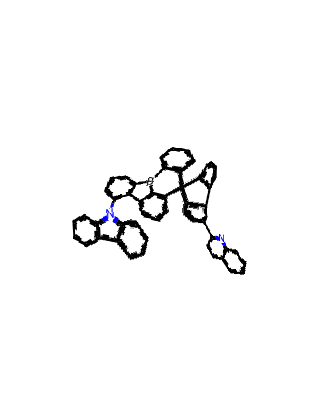 c1ccc2c(c1)B1c3cccc(-n4c5ccccc5c5ccccc54)c3-c3cccc(c31)C21c2ccccc2-c2cc(-c3ccc4ccccc4n3)ccc21